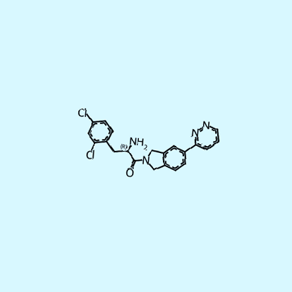 N[C@H](Cc1ccc(Cl)cc1Cl)C(=O)N1Cc2ccc(-c3cccnn3)cc2C1